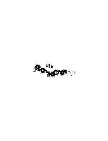 CC(C)(C(=O)O)c1cccc(CN2CCc3ccc(C(=O)CCCC4CCN(Cc5ccccc5Cl)CC4)cc3CC2)c1.Cl.Cl